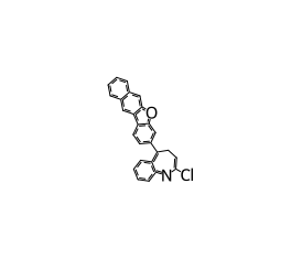 ClC1=CCC(c2ccc3c(c2)oc2cc4ccccc4cc23)=c2ccccc2=N1